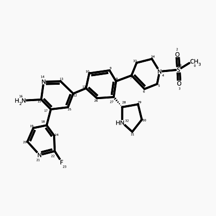 CS(=O)(=O)N1CC=C(c2ccc(-c3cnc(N)c(-c4ccnc(F)c4)c3)cc2[C@@H]2CCCN2)CC1